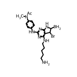 BC1Nc2nc(Nc3ccc(N(C)C(C)=O)cc3)nc(NCCCCCN)c2C1Br